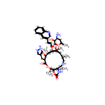 CC[C@H]1OC(=O)C(Cc2cn[nH]c2)C(=O)[C@H](C)[C@@H](O[C@@H]2OC(C)CC(N)C2O)[C@](C)(OC/C=C/c2cnc3ccccc3c2)C[C@@H](C)CN[C@H](C)[C@H]2NC(=O)O[C@@]21C